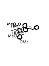 CONC(=O)[C@H]1[C@@H](O)[C@@]2(O)c3c(OC)cc(OC)cc3O[C@@]2(c2ccc(OCc3ccccc3)cc2)[C@@H]1c1ccccc1